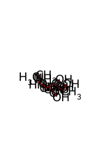 CCC1CC(CCCC2CC(CC(O)CCCC3CC(CCCC(O)CC4C[C@H](C)OC(c5ccc(O)cc5)O4)OC(c4ccc(O)cc4)O3)OC(CNC(=O)CCC(=O)Nc3ccc(CNc4nc(C)cc(C)n4)cc3)O2)OC(c2ccc(O)cc2)O1